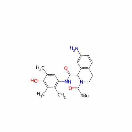 CCCCC(=O)N1CCc2ccc(N)cc2C1C(=O)Nc1cc(C)c(O)c(C)c1C